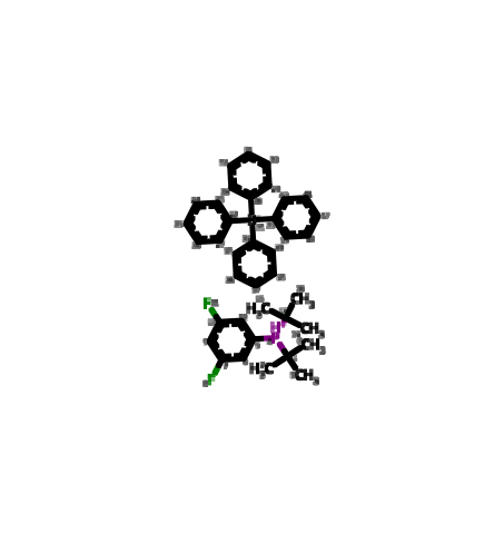 CC(C)(C)[PH+](c1cc(F)cc(F)c1)C(C)(C)C.c1ccc([B-](c2ccccc2)(c2ccccc2)c2ccccc2)cc1